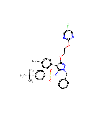 Cc1ccc(-c2c(OCCOc3ncc(Cl)cn3)nn(Cc3ccccc3)c2NS(=O)(=O)c2ccc(C(C)(C)C)cc2)cc1